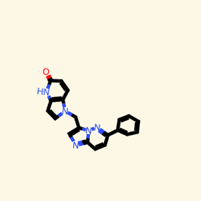 O=c1ccc2c(ccn2Cc2cnc3ccc(-c4ccccc4)nn23)[nH]1